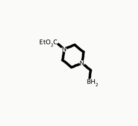 BCN1CCN(C(=O)OCC)CC1